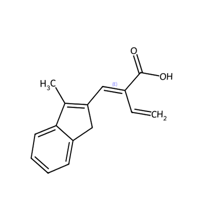 C=C/C(=C\C1=C(C)c2ccccc2C1)C(=O)O